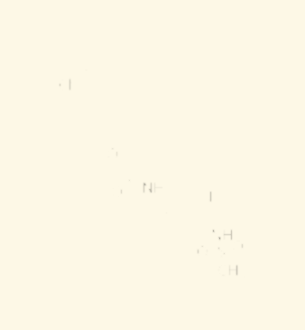 CS(=O)(=O)Nc1ccc(CNC(=O)COc2ccc(-c3ccccc3Cl)cc2)cc1F